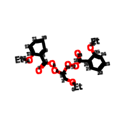 [CH2]COC[C](OOC(=O)c1ccccc1OCC)OOC(=O)c1ccccc1OCC